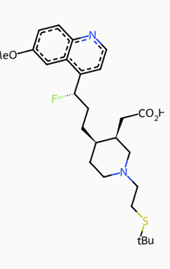 COc1ccc2nccc([C@@H](F)CC[C@@H]3CCN(CCSC(C)(C)C)C[C@@H]3CC(=O)O)c2c1